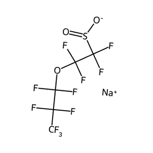 O=S([O-])C(F)(F)C(F)(F)OC(F)(F)C(F)(F)C(F)(F)F.[Na+]